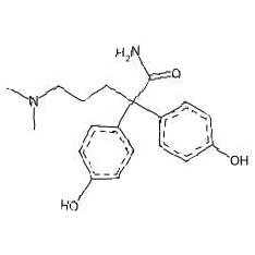 CN(C)CCCC(C(N)=O)(c1ccc(O)cc1)c1ccc(O)cc1